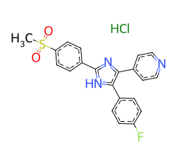 CS(=O)(=O)c1ccc(-c2nc(-c3ccncc3)c(-c3ccc(F)cc3)[nH]2)cc1.Cl